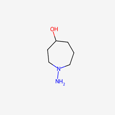 NN1CCCC(O)CC1